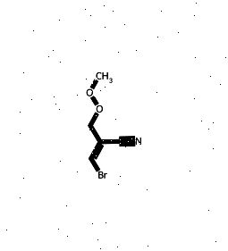 COOC/C(C#N)=C/Br